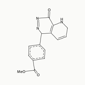 COC(=O)c1ccc(C2N=NC(=O)C3=C2C=CCN3)cc1